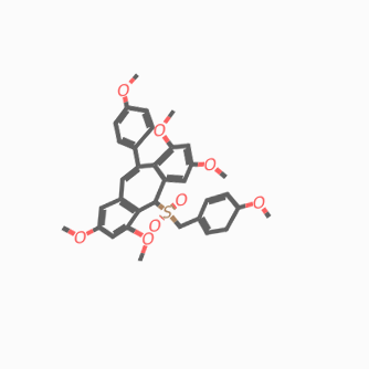 COc1ccc(C2=Cc3cc(OC)cc(OC)c3C(S(=O)(=O)CC3=CCC(OC)C=C3)c3cc(OC)cc(OC)c32)cc1